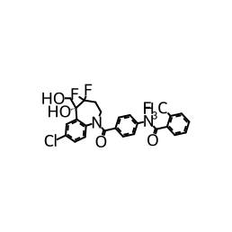 O=C(Nc1ccc(C(=O)N2CCC(F)(F)[C@](O)(CO)c3cc(Cl)ccc32)cc1)c1ccccc1C(F)(F)F